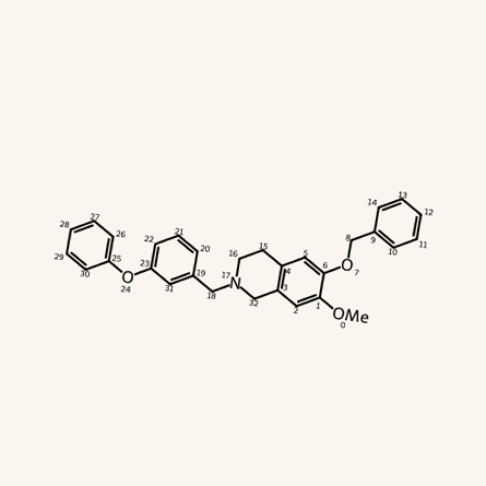 COc1cc2c(cc1OCc1ccccc1)CCN(Cc1cccc(Oc3ccccc3)c1)C2